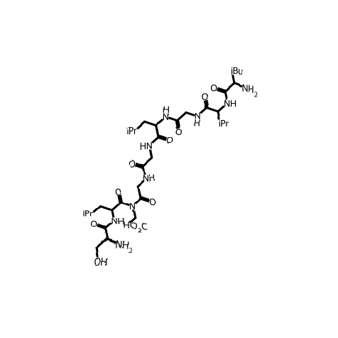 CCC(C)C(N)C(=O)NC(C(=O)NCC(=O)NC(CC(C)C)C(=O)NCC(=O)NCC(=O)N(CC(=O)O)C(=O)C(CC(C)C)NC(=O)C(N)CO)C(C)C